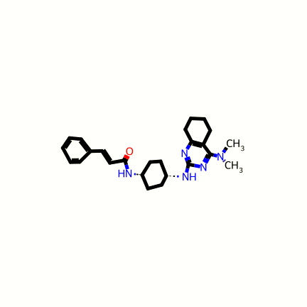 CN(C)c1nc(N[C@H]2CC[C@@H](NC(=O)C=Cc3ccccc3)CC2)nc2c1CCCC2